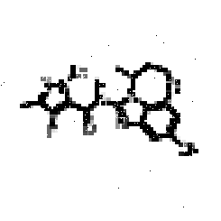 CCn1nc(C)c(F)c1C(=O)Nc1nc2cc(C#N)cc3c2n1[C@@H](C)CCO3